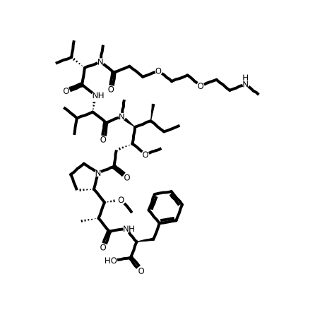 CC[C@H](C)[C@@H]([C@@H](CC(=O)N1CCC[C@H]1[C@H](OC)[C@@H](C)C(=O)N[C@@H](Cc1ccccc1)C(=O)O)OC)N(C)C(=O)[C@@H](NC(=O)[C@H](C(C)C)N(C)C(=O)CCOCCOCCNC)C(C)C